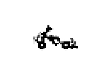 Cc1cc2ccc(N3CCC4(C=C(c5c(-c6ccccc6C(F)(F)F)noc5C5CC5)C4)CC3)cc2nn1